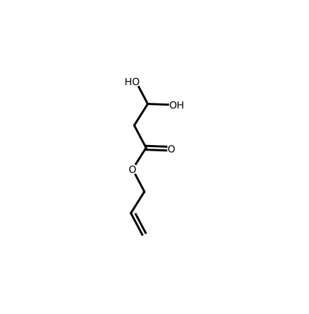 C=CCOC(=O)CC(O)O